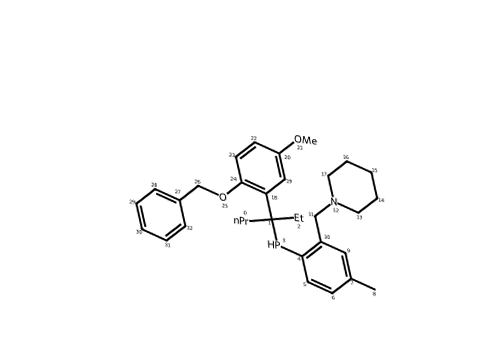 CCCC(CC)(Pc1ccc(C)cc1CN1CCCCC1)c1cc(OC)ccc1OCc1ccccc1